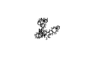 Cc1cc2c(cc1-c1cnc3c(c1)c(-c1ccc4c(c1)OCCNC4=O)nn3C1CCCCO1)CCC(=O)CC2